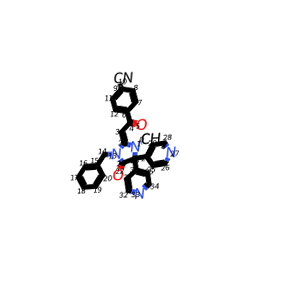 CN1C(=CC(=O)c2ccc(C#N)cc2)N(Cc2ccccc2)C(=O)C1(c1ccncc1)c1ccncc1